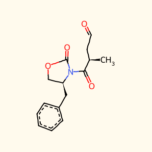 C[C@H](CC=O)C(=O)N1C(=O)OC[C@@H]1Cc1ccccc1